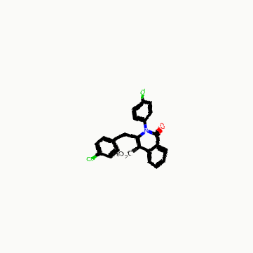 O=C(O)C1c2ccccc2C(=O)N(c2ccc(Cl)cc2)C1Cc1ccc(Cl)cc1